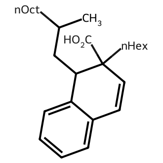 CCCCCCCCC(C)CC1c2ccccc2C=CC1(CCCCCC)C(=O)O